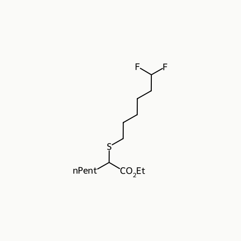 CCCCCC(SCCCCCC(F)F)C(=O)OCC